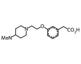 CNC1CCN(CCOc2cccc(CC(=O)O)c2)CC1